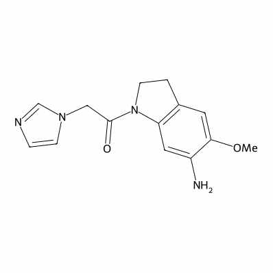 COc1cc2c(cc1N)N(C(=O)Cn1ccnc1)CC2